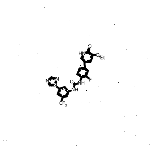 CCOc1cc(-c2ccc(NC(=O)Nc3cc(-n4cncn4)cc(C(F)(F)F)c3)c(F)c2)c[nH]c1=O